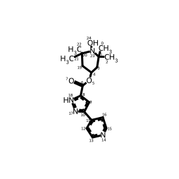 CC1(C)CC(OC(=O)c2cc(-c3ccncc3)n[nH]2)CC(C)(C)N1O